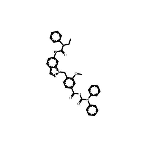 CCC(C(=O)Nc1ccc2cnn(Cc3ccc(C(=O)OC(=O)N(c4ccccc4)c4ccccc4)cc3OC)c2c1)c1ccccc1